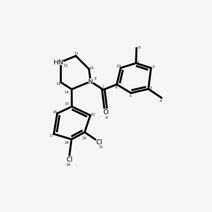 Cc1cc(C)cc(C(=O)N2CCNCC2c2ccc(Cl)c(Cl)c2)c1